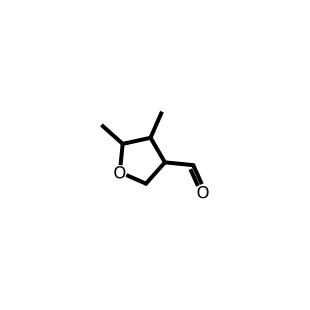 CC1OCC(C=O)C1C